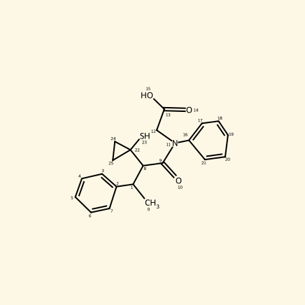 CC(c1ccccc1)C(C(=O)N(CC(=O)O)c1ccccc1)C1(S)CC1